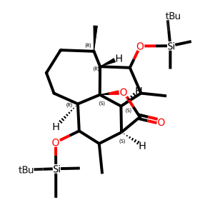 CC1C(O[Si](C)(C)C(C)(C)C)[C@H]2CCC[C@@H](C)[C@@H]3C(O[Si](C)(C)C(C)(C)C)C(C)[C@H]4[C@H]1C(=O)O[C@@]234